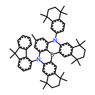 Cc1cc2c3c(c1)N(c1cccc4c1-c1ccccc1C4(C)C)c1cc4c(cc1B3c1cc3c(cc1N2c1ccc2c(c1)C(C)(C)CCC2(C)C)C(C)(C)CCC3(C)C)C(C)(C)CCC4(C)C